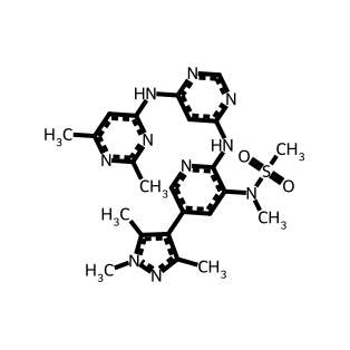 Cc1cc(Nc2cc(Nc3ncc(-c4c(C)nn(C)c4C)cc3N(C)S(C)(=O)=O)ncn2)nc(C)n1